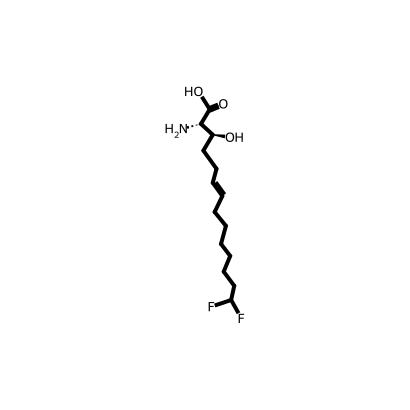 N[C@H](C(=O)O)[C@@H](O)CCC=CCCCCCCC(F)F